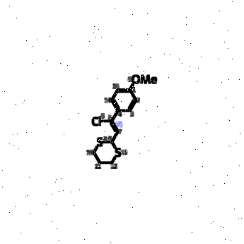 COc1ccc(/C(Cl)=C/C2SCCCS2)cc1